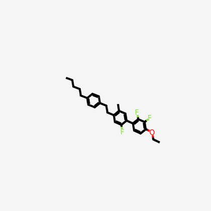 CCCCCc1ccc(CCc2cc(F)c(-c3ccc(OCC)c(F)c3F)cc2C)cc1